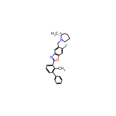 Cc1c(-c2ccccc2)cccc1-c1nc2cc(CN3CCCC[C@H]3C)c(F)cc2o1